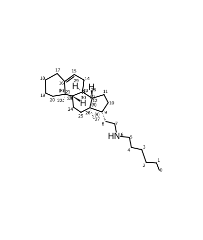 CCCCCCNCC[C@H]1CC[C@H]2[C@@H]3CC=C4CCCC[C@]4(C)[C@H]3CC[C@]12C